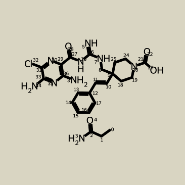 CCC(N)=O.N=C(NCC1(C=Cc2ccccc2)CCN(C(=O)O)CC1)NC(=O)c1nc(Cl)c(N)nc1N